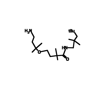 CC(C)(C)CC(C)(C)CNC(=O)C(C)(C)CCOC(C)(C)CCN